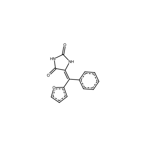 O=C1NC(=O)C(=C(c2ccccc2)c2ccco2)N1